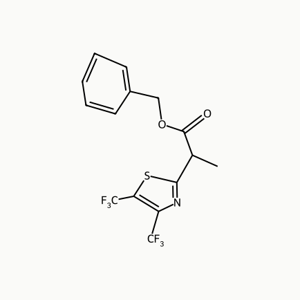 CC(C(=O)OCc1ccccc1)c1nc(C(F)(F)F)c(C(F)(F)F)s1